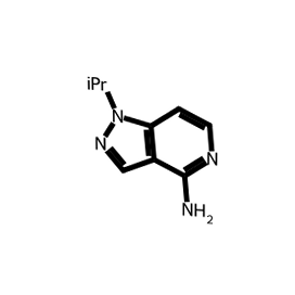 CC(C)n1ncc2c(N)nccc21